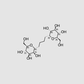 OC[C@H]1O[C@H](CCCC[C@H]2O[C@H](CO)[C@@H](O)[C@H](O)[C@H]2O)[C@@H](O)[C@@H](O)[C@@H]1O